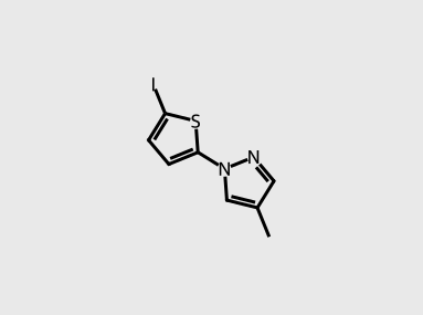 Cc1cnn(-c2ccc(I)s2)c1